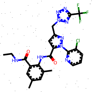 CCNC(=O)c1cc(C)cc(C)c1NC(=O)c1cc(Cn2nnc(C(F)(F)F)n2)nn1-c1ncccc1Cl